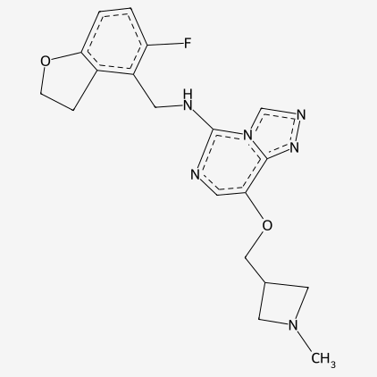 CN1CC(COc2cnc(NCc3c(F)ccc4c3CCO4)n3cnnc23)C1